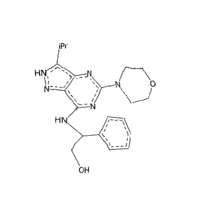 CC(C)c1[nH]nc2c(NC(CO)c3ccccc3)nc(N3CCOCC3)nc12